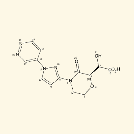 O=C(O)C(O)[C@H]1OCCN(c2ccn(-c3ccnnc3)n2)C1=O